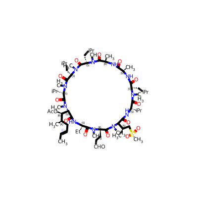 C/C=C/C[C@@H](C)[C@@H](OC(C)=O)[C@H]1C(=O)N[C@@H](CC)C(=O)N(C)[C@H](CCC=O)C(=O)N(C)C([C@H](C)CS(C)(=O)=O)C(=O)N[C@@H](C(C)C)C(=O)N(C)[C@@H](CC(C)C)C(=O)N[C@@H](C)C(=O)N[C@H](C)C(=O)N(C)[C@@H](CC(C)C)C(=O)N(C)[C@@H](CC(C)C)C(=O)N(C)[C@@H](C(C)C)C(=O)N1C